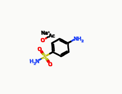 CC(=O)[O-].Nc1ccc(S(N)(=O)=O)cc1.[Na+]